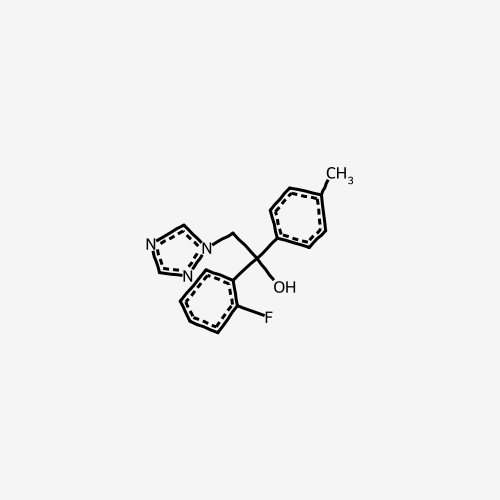 Cc1ccc(C(O)(Cn2cncn2)c2ccccc2F)cc1